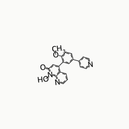 COc1ccc(-c2ccncc2)cc1-c1cc(=O)n(O)c2ncccc12